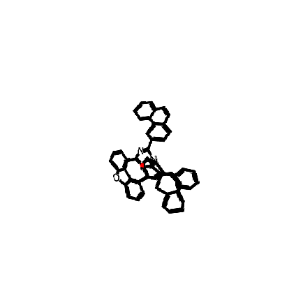 C1=CC(c2nc(-c3ccc4ccc5ccccc5c4c3)nc(-c3cccc4oc5cccc(-c6cccc(-c7ccccc7)c6)c5c34)n2)Cc2ccccc21